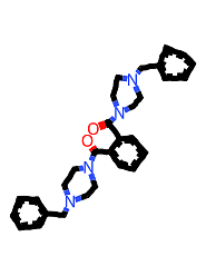 O=C(c1ccccc1C(=O)N1CCN(Cc2ccccc2)CC1)N1CCN(Cc2ccccc2)CC1